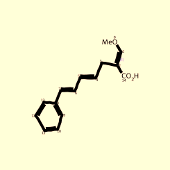 CO/C=C(\CC=CC=Cc1ccccc1)C(=O)O